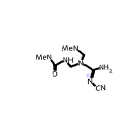 CNCN(CNC(=O)NC)/C(N)=N/C#N